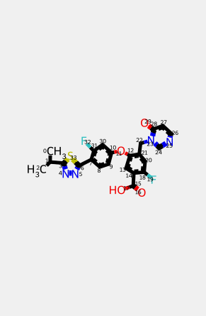 CC(C)c1nnc(-c2ccc(Oc3cc(C(=O)O)c(F)cc3Cn3cnccc3=O)cc2F)s1